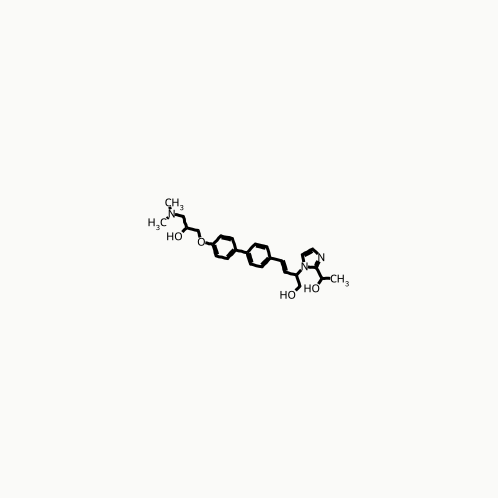 CC(O)c1nccn1C(/C=C/c1ccc(-c2ccc(OCC(O)CN(C)C)cc2)cc1)CO